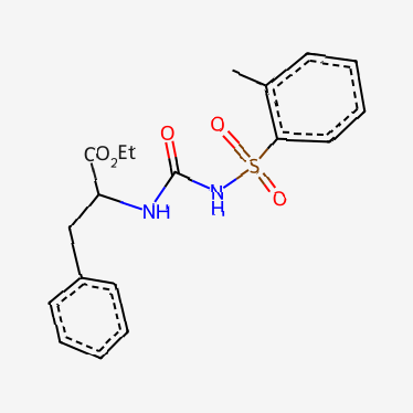 CCOC(=O)C(Cc1ccccc1)NC(=O)NS(=O)(=O)c1ccccc1C